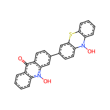 O=c1c2ccccc2n(O)c2cc(-c3ccc4c(c3)Sc3ccccc3N4O)ccc12